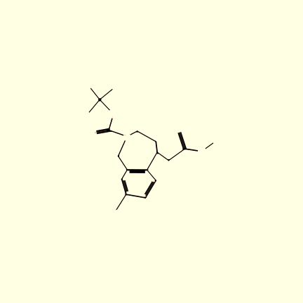 COC(=O)CC1CCN(C(=O)OC(C)(C)C)Cc2cc(Cl)ccc21